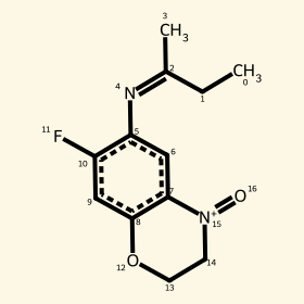 CCC(C)=Nc1cc2c(cc1F)OCC[N+]2=O